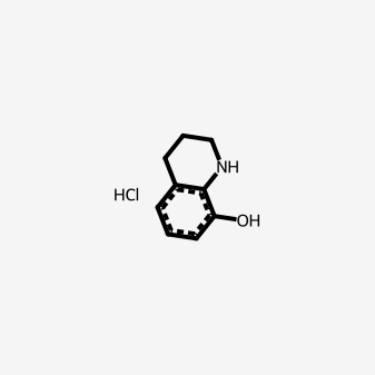 Cl.Oc1cccc2c1NCCC2